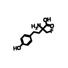 NC(CF)(CCc1ccc(O)cc1)C(=O)O